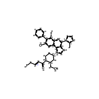 Cc1nccn1-c1nc2c(F)c(-c3ccccc3)c(Cl)cc2c2c1ncn2[C@H]1CCN(C(=O)/C=C/CF)[C@H](CC#N)C1